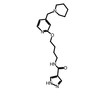 O=C(NCCCCOc1cc(CN2CCCCC2)ccn1)c1cn[nH]c1